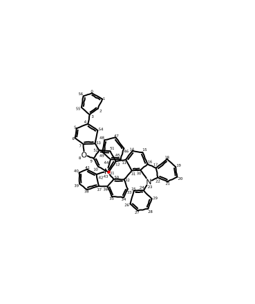 c1ccc(-c2ccc3oc4ccc(-c5ccc6c7ccccc7n(-c7ccccc7)c6c5-c5cccc6c7ccccc7n(-c7ccccc7)c56)cc4c3c2)cc1